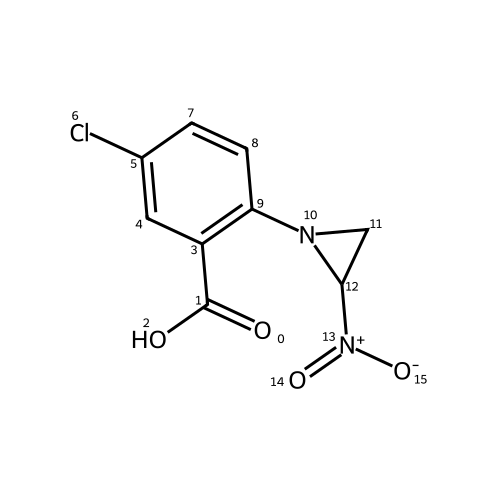 O=C(O)c1cc(Cl)ccc1N1CC1[N+](=O)[O-]